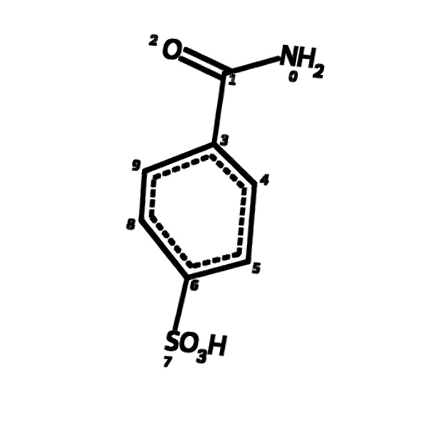 NC(=O)c1ccc(S(=O)(=O)O)cc1